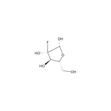 OC[C@H]1O[C@@H](O)[C@](O)(F)[C@@H]1O